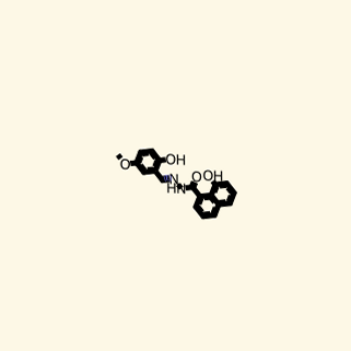 COc1ccc(O)c(/C=N/NC(=O)c2cccc3cccc(O)c23)c1